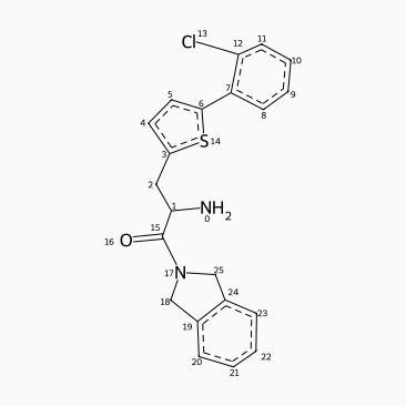 NC(Cc1ccc(-c2ccccc2Cl)s1)C(=O)N1Cc2ccccc2C1